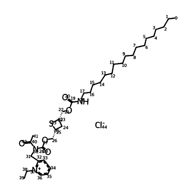 CCCCCCCCCCCCCCCCCCNC(=O)OC[C@@H]1C[C@H](COC(=O)N(Cc2cccc[n+]2CC)C(C)=O)S1.[Cl-]